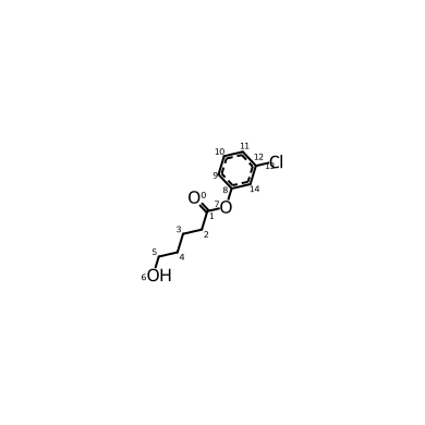 O=C(CCCCO)Oc1cccc(Cl)c1